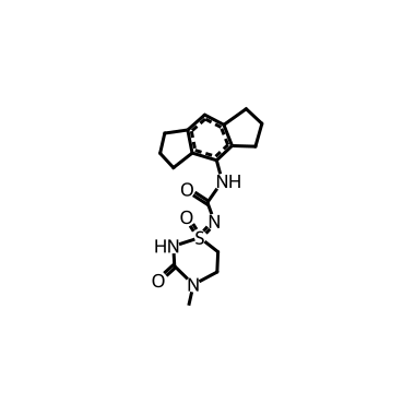 CN1CCS(=O)(=NC(=O)Nc2c3c(cc4c2CCC4)CCC3)NC1=O